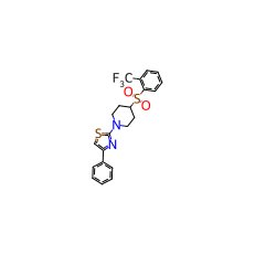 O=S(=O)(c1ccccc1C(F)(F)F)C1CCN(c2nc(-c3ccccc3)cs2)CC1